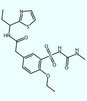 CCOc1ccc(CC(=O)NC(CC)c2nccs2)cc1S(=O)(=O)NC(=O)NC